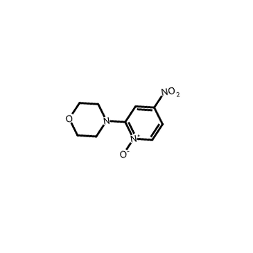 O=[N+]([O-])c1cc[n+]([O-])c(N2CCOCC2)c1